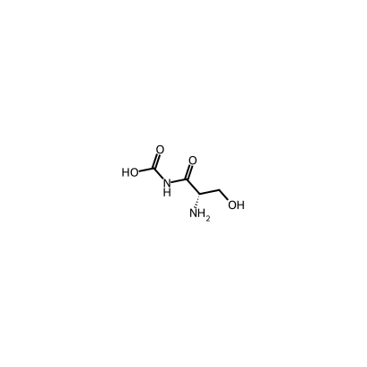 N[C@@H](CO)C(=O)NC(=O)O